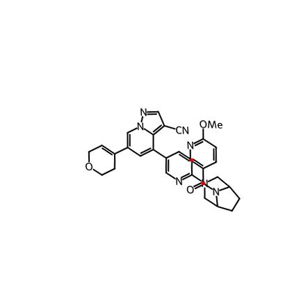 COc1ccc(C(=O)N2C3CCC2CN(c2ccc(-c4cc(C5=CCOCC5)cn5ncc(C#N)c45)cn2)C3)cn1